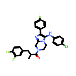 CC(Cc1ccc(F)c(F)c1)C(=O)N1CCn2c(nc(-c3ccc(F)cc3)c2Nc2ccc(Cl)cc2)C1